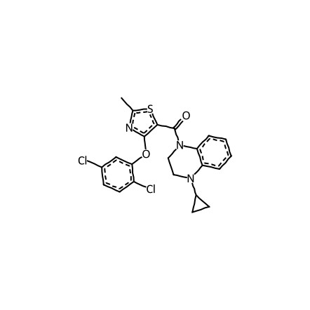 Cc1nc(Oc2cc(Cl)ccc2Cl)c(C(=O)N2CCN(C3CC3)c3ccccc32)s1